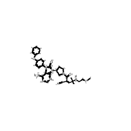 COCCNC(C)(C)/C=C(/C#N)C(=O)N1CC[C@H](n2c(=O)n(-c3ccc(Oc4ccccc4)cc3)c3c(N)ncnc32)C1